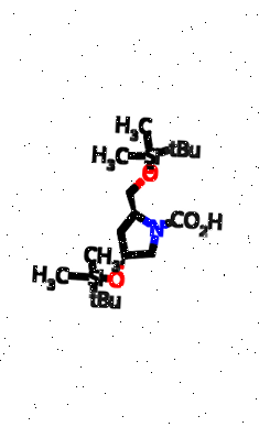 CC(C)(C)[Si](C)(C)OC[C@@H]1C[C@@H](O[Si](C)(C)C(C)(C)C)CN1C(=O)O